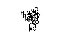 Nc1nc(=O)c2ncn([C@@H]3O[C@H](CO)[C@@H](O)[C@H]3O)c2n1P(=O)(O)O